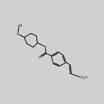 CCCOC1CCC(OC(=O)c2ccc(/C=C/C(=O)O)cc2)CC1